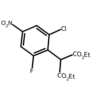 CCOC(=O)C(C(=O)OCC)c1c(F)cc([N+](=O)[O-])cc1Cl